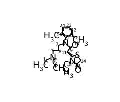 CCN(CC)CCCN(C(=O)C=C1SCC(=O)N1C)c1c(C)cccc1C